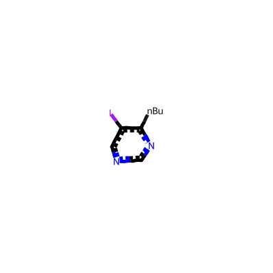 CCCCc1ncncc1I